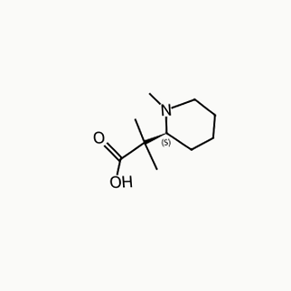 CN1CCCC[C@H]1C(C)(C)C(=O)O